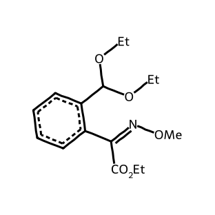 CCOC(=O)C(=NOC)c1ccccc1C(OCC)OCC